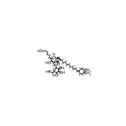 CCCCCCCCCCCCCC[C@@H](O)[C@@H](O)[C@H](COC1OC(CO)C(O)C(O)C1O)n1nnn(CCCCCCCCCCC2CCS(C)(C)CC2)c1=O